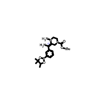 CC1OB(c2cccc(/C(N)=C3\CN(C(=O)OC(C)(C)C)CCN3N)c2)OC1(C)C